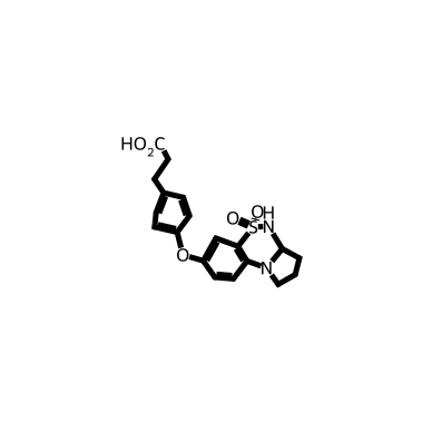 O=C(O)CCc1ccc(Oc2ccc3c(c2)S(=O)(=O)NC2CCCN32)cc1